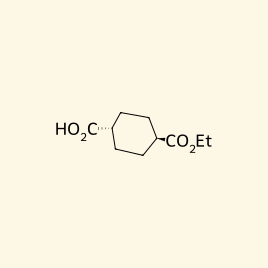 CCOC(=O)[C@H]1CC[C@H](C(=O)O)CC1